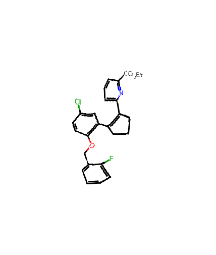 CCOC(=O)c1cccc(C2=C(c3cc(Cl)ccc3OCc3ccccc3F)CCC2)n1